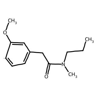 CCCN(C)C(=O)Cc1cc[c]c(OC)c1